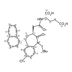 CC(C)(C)CN1C(=O)[C@H](CC(=O)N[C@@H](CCC(=O)O)C(=O)O)O[C@@H](c2cccc3ccccc23)c2cc(Cl)ccc21